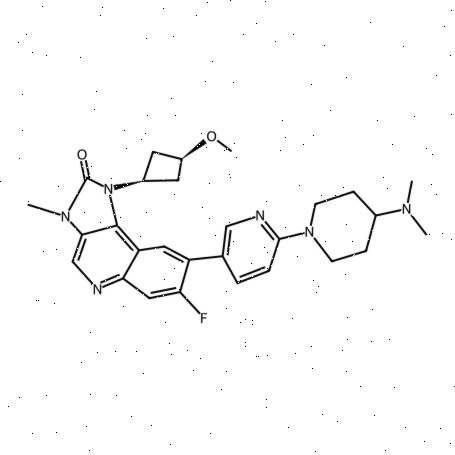 CO[C@H]1C[C@@H](n2c(=O)n(C)c3cnc4cc(F)c(-c5ccc(N6CCC(N(C)C)CC6)nc5)cc4c32)C1